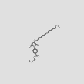 CCCCCCCCCCCCNC1CC(=O)N(c2ccc(C(=O)OCC)cc2)C1=O